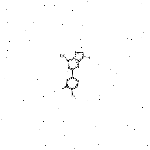 Cc1cc(-c2cc(C(F)(F)F)n3ncc(I)c3n2)ccc1C(F)(F)F